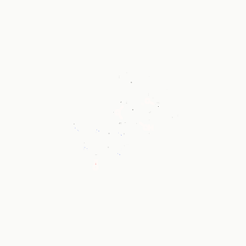 CC(C)(C)C[C@H]1O[C@@H](n2cnc3c(=O)[nH]c(N)nc32)C(O)[C@H]1OC(C)(C)C